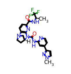 C[C@@H](NC(=O)c1ccc2c(n1)N(C(=O)Nc1cc(-c3ccn(C)n3)ccn1)[C@H]1CCN2C1)C(F)(F)F